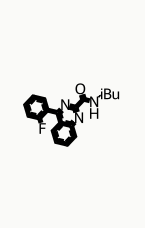 CC[C@@H](C)NC(=O)c1nc(-c2ccccc2F)c2ccccc2n1